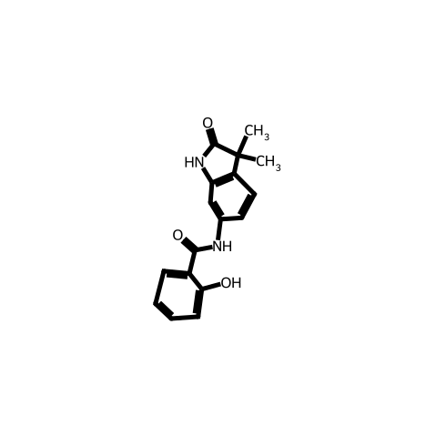 CC1(C)C(=O)Nc2cc(NC(=O)c3ccccc3O)ccc21